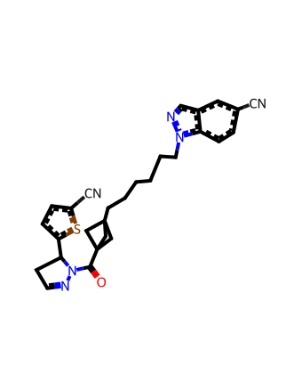 N#Cc1ccc2c(cnn2CCCCCCC23CC(C(=O)N4N=CCC4c4ccc(C#N)s4)(C2)C3)c1